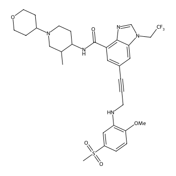 COc1ccc(S(C)(=O)=O)cc1NCC#Cc1cc(C(=O)NC2CCN(C3CCOCC3)CC2C)c2ncn(CC(F)(F)F)c2c1